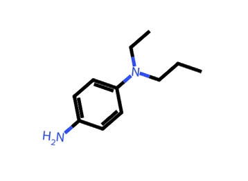 CCCN(CC)c1ccc(N)cc1